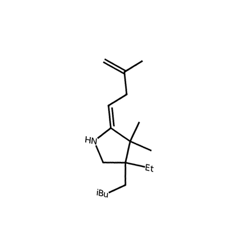 C=C(C)C/C=C1/NCC(CC)(CC(C)CC)C1(C)C